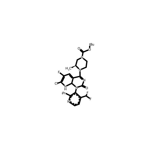 CC(C)c1nccc(C(F)F)c1N1C(=O)N=C(N2CCN(C(=O)OC(C)(C)C)C[C@@H]2C)C2=CC(F)=C(Cl)NC21